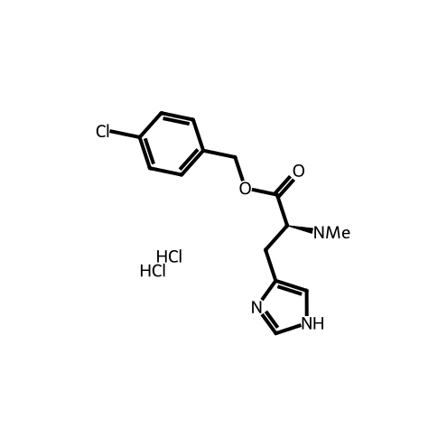 CN[C@@H](Cc1c[nH]cn1)C(=O)OCc1ccc(Cl)cc1.Cl.Cl